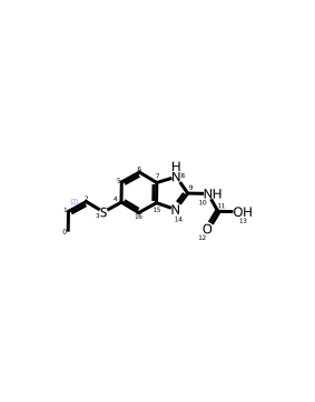 C/C=C\Sc1ccc2[nH]c(NC(=O)O)nc2c1